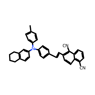 [C-]#[N+]c1c(C=Cc2ccc(N(c3ccc(C)cc3)c3ccc4c(c3)CCCC4)cc2)ccc2c(C#N)cccc12